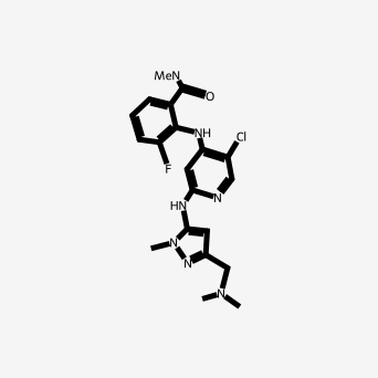 CNC(=O)c1cccc(F)c1Nc1cc(Nc2cc(CN(C)C)nn2C)ncc1Cl